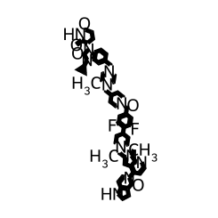 C[C@H]1CN(Cc2ccc3c(c2)n(C2CC2)c(=O)n3C2CCC(=O)NC2=O)CCN1CC1CCN(C(=O)c2cc(F)c(C3CCN([C@@H](C)c4cc5c(-n6ccc7c(c6=O)CCN7)ccnc5n4C)CC3)c(F)c2)CC1